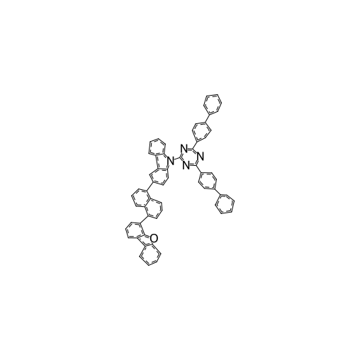 c1ccc(-c2ccc(-c3nc(-c4ccc(-c5ccccc5)cc4)nc(-n4c5ccccc5c5cc(-c6cccc7c(-c8cccc9c8oc8ccccc89)cccc67)ccc54)n3)cc2)cc1